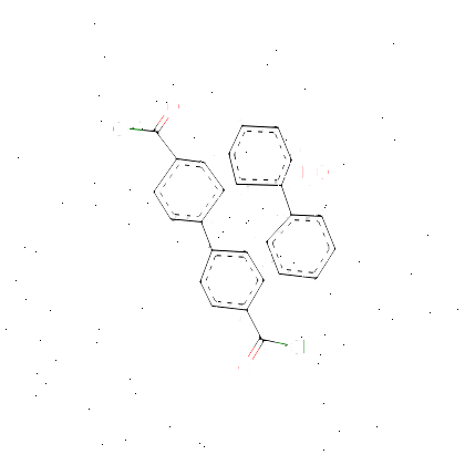 O.O=C(Cl)c1ccc(-c2ccc(C(=O)Cl)cc2)cc1.c1ccc(-c2ccccc2)cc1